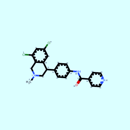 CN1Cc2c(Cl)cc(Cl)cc2C(c2ccc(NC(=O)c3ccncc3)cc2)C1